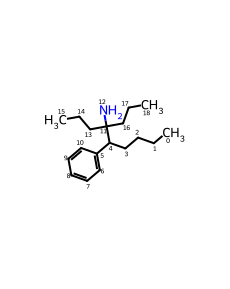 CCCCC(c1ccccc1)C(N)(CCC)CCC